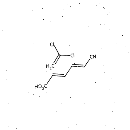 C=C(Cl)Cl.N#CC=CC=CC(=O)O